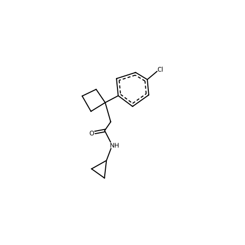 O=C(CC1(c2ccc(Cl)cc2)CCC1)NC1CC1